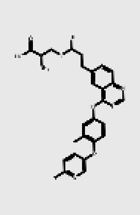 Cc1ccc(Oc2ccc(Nc3ncnc4ccc(CCC(O)SCC(N)C(=O)O)cc34)cc2C)cn1